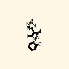 Cn1nnc(-c2c(I)nn(-c3ccccc3Cl)c2I)n1